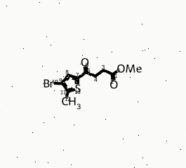 COC(=O)CCC(=O)c1cc(Br)c(C)s1